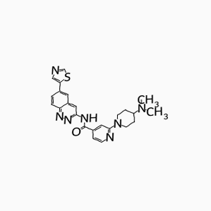 CN(C)C1CCN(c2cc(C(=O)Nc3cc4cc(-c5cncs5)ccc4nn3)ccn2)CC1